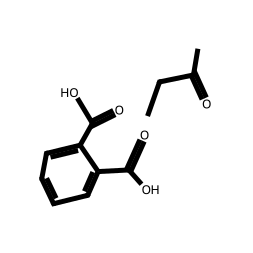 CCC(C)=O.O=C(O)c1ccccc1C(=O)O